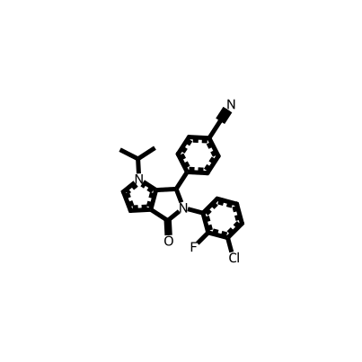 CC(C)n1ccc2c1C(c1ccc(C#N)cc1)N(c1cccc(Cl)c1F)C2=O